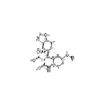 CCOc1ccc2[nH]c(=O)c(C(=O)OC)c(-c3ccc4c(c3)OCO4)c2c1